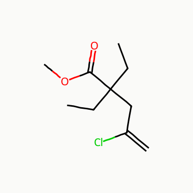 C=C(Cl)CC(CC)(CC)C(=O)OC